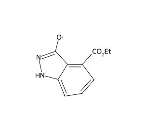 CCOC(=O)c1cccc2[nH]nc([O])c12